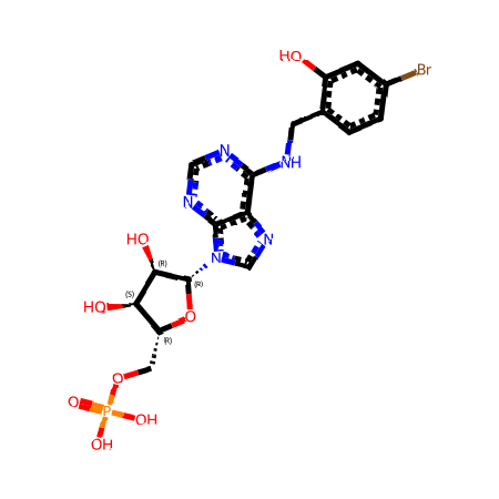 O=P(O)(O)OC[C@H]1O[C@@H](n2cnc3c(NCc4ccc(Br)cc4O)ncnc32)[C@H](O)[C@@H]1O